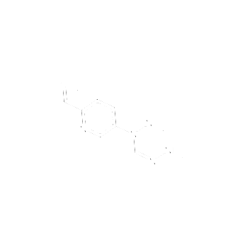 C=Cc1ccc(N(N)/C=N\N)cn1